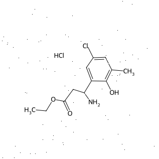 CCOC(=O)CC(N)c1cc(Cl)cc(C)c1O.Cl